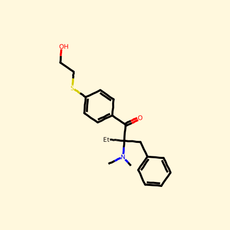 CCC(Cc1ccccc1)(C(=O)c1ccc(SCCO)cc1)N(C)C